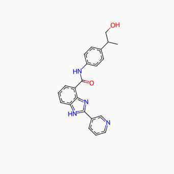 CC(CO)c1ccc(NC(=O)c2cccc3[nH]c(-c4cccnc4)nc23)cc1